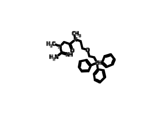 CN(CC(=O)N(C)CCOCC[PH](c1ccccc1)(c1ccccc1)c1ccccc1)C(=N)N